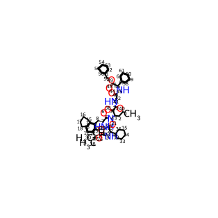 CCCC(NC(=O)[C@H](Cc1cccc2c1CCCC2)NC(=O)[C@@H](NC(=O)OC(C)(C)C)C1CCCCC1)C(=O)C(=O)NCC(=O)N[C@H](C(=O)OCc1ccccc1)c1ccccc1